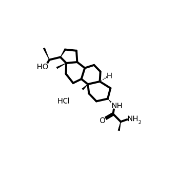 C[C@H](N)C(=O)N[C@@H]1CC[C@]2(C)C3CC[C@@]4(C)C(CC[C@@H]4[C@H](C)O)C3CC[C@H]2C1.Cl